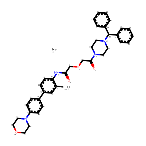 O=C(COCC(=O)N1CCN(C(c2ccccc2)c2ccccc2)CC1)Nc1ccc(-c2ccc(N3CCOCC3)cc2)cc1C(=O)O.[Na]